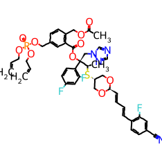 C=CCOP(=O)(OCC=C)OCc1ccc(COC(C)=O)c(C(=O)O[C@@](Cn2cncn2)(c2ccc(F)cc2F)[C@@H](C)S[C@H]2CO[C@H](C=CC=Cc3ccc(C#N)cc3F)OC2)c1